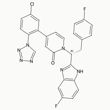 O=c1cc(-c2cc(Cl)ccc2-n2cnnn2)ccn1[C@H](Cc1ccc(F)cc1)c1nc2cc(F)ccc2[nH]1